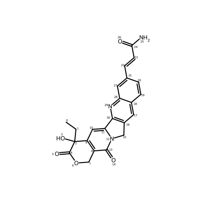 CCC1(O)C(=O)OCc2c1cc1n(c2=O)Cc2cc3ccc(C=CC(N)=O)cc3nc2-1